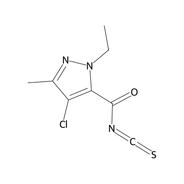 CCn1nc(C)c(Cl)c1C(=O)N=C=S